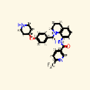 O=C(Nc1cccc2c1N(Cc1ccc(OC3CCNCC3)cc1)CCC2)c1ccc(C(F)(F)F)nc1